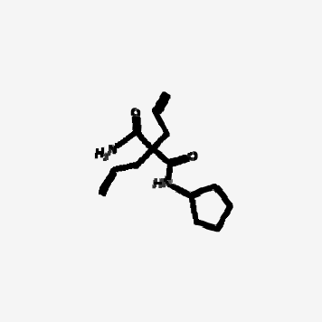 C=CCC(CC=C)(C(N)=O)C(=O)NC1CCCC1